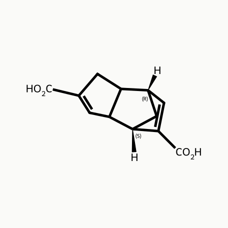 O=C(O)C1=CC2C(C1)[C@@H]1C=C(C(=O)O)[C@H]2C1